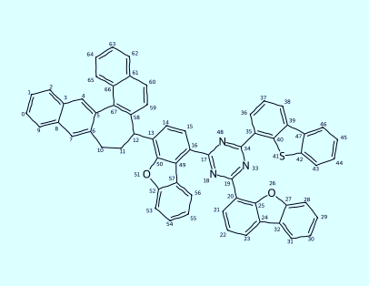 c1ccc2cc3c(cc2c1)CCC(c1ccc(-c2nc(-c4cccc5c4oc4ccccc45)nc(-c4cccc5c4sc4ccccc45)n2)c2c1oc1ccccc12)c1ccc2ccccc2c1-3